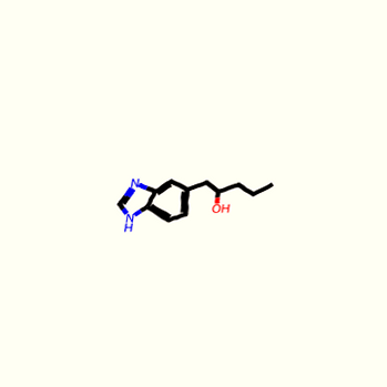 CCCC(O)Cc1ccc2[nH]cnc2c1